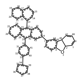 C1=CC2Oc3ccc(-c4ccc5c(-c6cccc7ccccc67)c6ccccc6c(-c6ccc(-c7ccccc7)cc6)c5c4)cc3C2C=C1